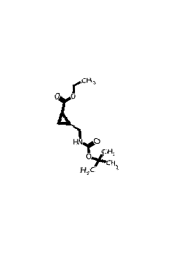 CCOC(=O)C1C[C@@H]1CNC(=O)OC(C)(C)C